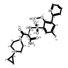 COc1c(-c2ccccn2)cc(F)cc1S(=O)(=O)N[C@@H](C(N)=O)C(=O)N1CCN(C2CC2)CC1